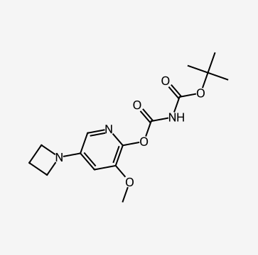 COc1cc(N2CCC2)cnc1OC(=O)NC(=O)OC(C)(C)C